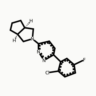 Fc1ccc(Cl)c(-c2ccc(N3C[C@H]4CCC[C@H]4C3)nn2)c1